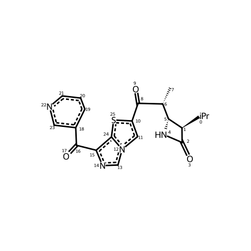 CC(C)[C@H]1C(=O)N[C@@H]1[C@@H](C)C(=O)c1cn2cnc(C(=O)c3cccnc3)c2s1